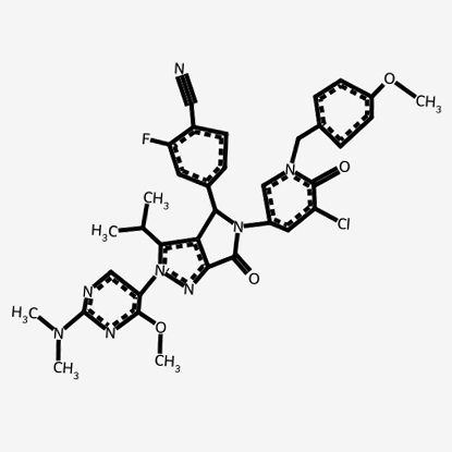 COc1ccc(Cn2cc(N3C(=O)c4nn(-c5cnc(N(C)C)nc5OC)c(C(C)C)c4C3c3ccc(C#N)c(F)c3)cc(Cl)c2=O)cc1